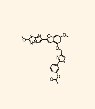 COc1cc(OCc2csc(-c3cccc(OC(C)=O)c3)n2)c2cc(-c3cn4nc(OC)sc4n3)oc2c1